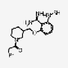 CC(C)CC(=O)N1CCCC(COc2cccc(NS)c2C(=N)N)C1